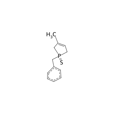 CC1=CCP(=S)(Cc2ccccc2)C1